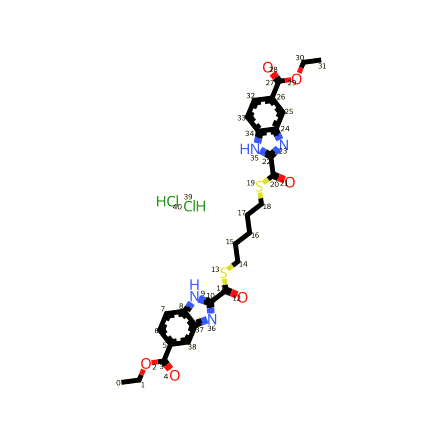 CCOC(=O)c1ccc2[nH]c(C(=O)SCCCCCSC(=O)c3nc4cc(C(=O)OCC)ccc4[nH]3)nc2c1.Cl.Cl